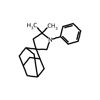 CC1(C)CC2(CN1c1ccccc1)C1CC3CC(C1)CC2C3